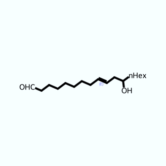 CCCCCCC(O)C/C=C/CCCCCCCC=O